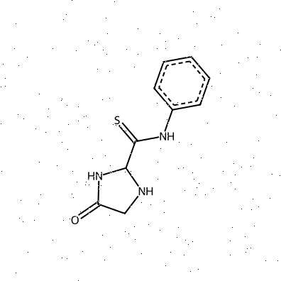 O=C1CNC(C(=S)Nc2ccccc2)N1